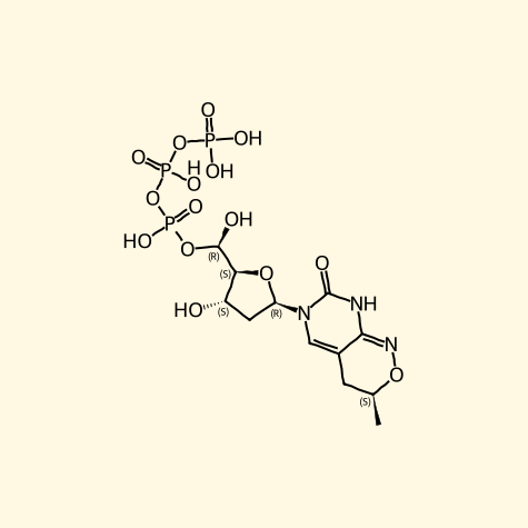 C[C@H]1CC2=CN([C@H]3C[C@H](O)[C@@H]([C@H](O)OP(=O)(O)OP(=O)(O)OP(=O)(O)O)O3)C(=O)NC2=NO1